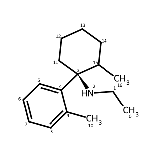 CCN[C@@]1(c2ccccc2C)CCCCC1C